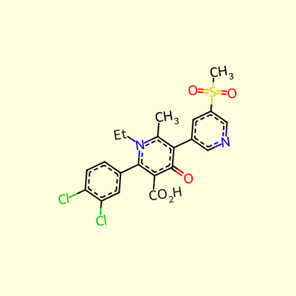 CCn1c(C)c(-c2cncc(S(C)(=O)=O)c2)c(=O)c(C(=O)O)c1-c1ccc(Cl)c(Cl)c1